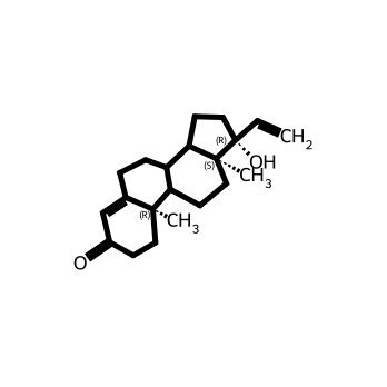 C=C[C@]1(O)CCC2C3CCC4=CC(=O)CC[C@]4(C)C3CC[C@@]21C